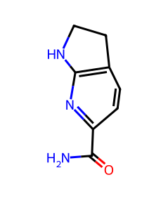 NC(=O)c1ccc2c(n1)NCC2